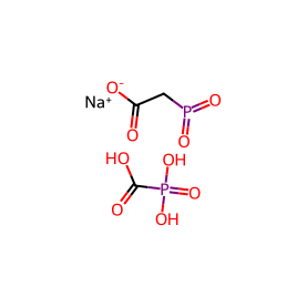 O=C(O)P(=O)(O)O.O=C([O-])CP(=O)=O.[Na+]